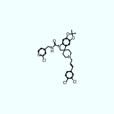 CC1(C)Oc2cc3c(cc2O1)C1(CCN(CC=Cc2ccc(Cl)c(Cl)c2)CC1)CN3C(=O)NCc1ccnc(Cl)c1